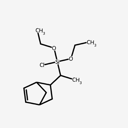 CCO[Si](Cl)(OCC)C(C)C1CC2C=CC1C2